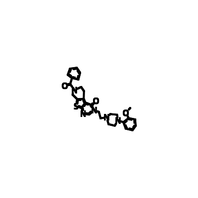 COc1ccccc1N1CCN(CCn2cnc3sc4c(c3c2=O)CCN(C(=O)c2ccccc2)C4)CC1